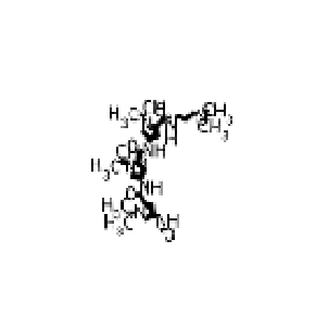 CC(C)n1cc(NC(=O)c2cc(NC(=O)c3cc(NC=O)cn3C(C)C)cn2C(C)C)cc1C(=O)NCCCN(C)C